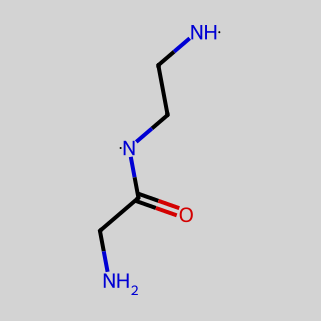 [NH]CC[N]C(=O)CN